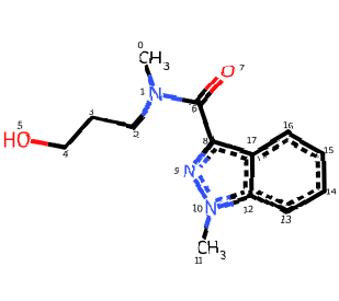 CN(CCCO)C(=O)c1nn(C)c2ccccc12